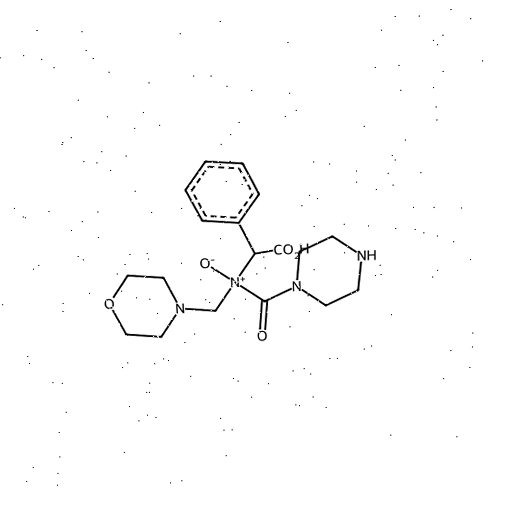 O=C(O)C(c1ccccc1)[N+]([O-])(CN1CCOCC1)C(=O)N1CCNCC1